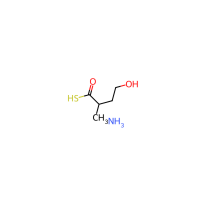 CC(CCO)C(=O)S.N